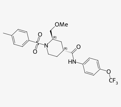 COC[C@H]1C[C@H](C(=O)Nc2ccc(OC(F)(F)F)cc2)CCN1S(=O)(=O)c1ccc(C)cc1